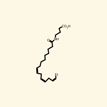 CC/C=C\C/C=C\C/C=C\CCCCCCCC(=O)NCCCC(=O)O